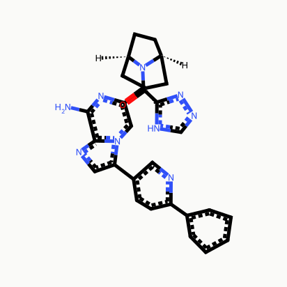 C[C@]1(c2cn3c(-c4ccc(-c5ccccc5)nc4)cnc3c(N)n2)C[C@H]2CC[C@@H](C1)N2C(=O)c1nnc[nH]1